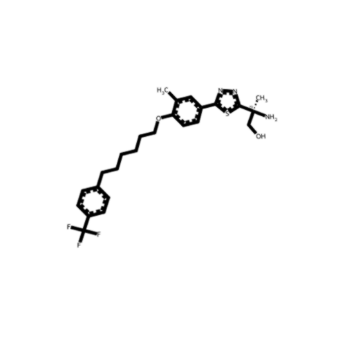 Cc1cc(-c2nnc([C@@](C)(N)CO)s2)ccc1OCCCCCCc1ccc(C(F)(F)F)cc1